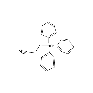 N#CC[CH2][Sn]([c]1ccccc1)([c]1ccccc1)[c]1ccccc1